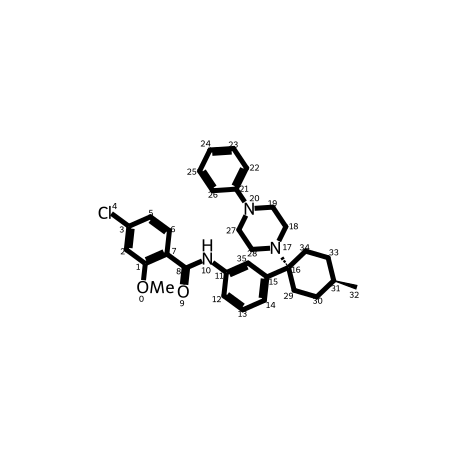 COc1cc(Cl)ccc1C(=O)Nc1cccc([C@]2(N3CCN(c4ccccc4)CC3)CC[C@H](C)CC2)c1